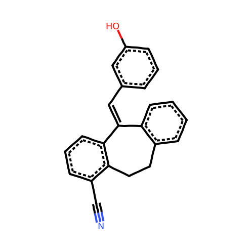 N#Cc1cccc2c1CCc1ccccc1/C2=C\c1cccc(O)c1